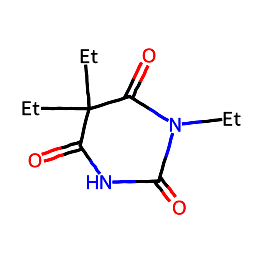 CCN1C(=O)NC(=O)C(CC)(CC)C1=O